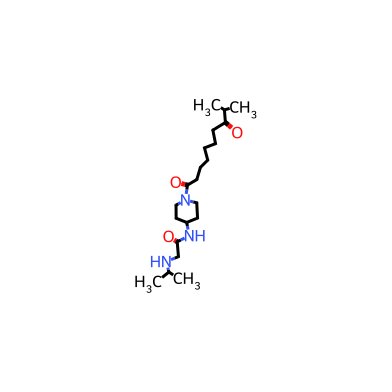 CC(C)NCC(=O)NC1CCN(C(=O)CCCCCCC(=O)C(C)C)CC1